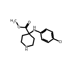 COC(=O)C1(Nc2ccc(Cl)cc2)CCNCC1